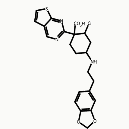 O=C(O)C1(c2ncc3ccsc3n2)CCC(NCCc2ccc3c(c2)OCO3)CC1Cl